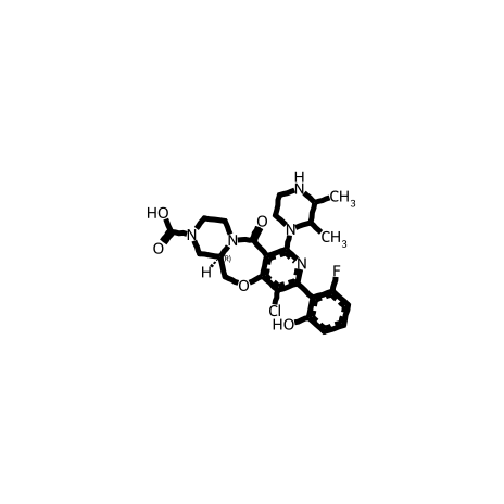 CC1NCCN(c2nc(-c3c(O)cccc3F)c(Cl)c3c2C(=O)N2CCN(C(=O)O)C[C@@H]2CO3)C1C